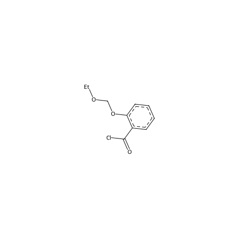 CCOCOc1ccccc1C(=O)Cl